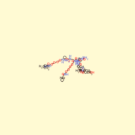 CC(C)[C@H](NC(=O)[C@@H](CCCCNC(=O)COC1CCCCC/C(NCCOCCOCCOCCOCCC(=O)NCC[N+](C)(C)C)=C\1N)NC(=O)CCOCCOCCOCCOCCNC(=O)CC[C@@H]1[C@@H]2CCC#CCC[C@@H]21)C(=O)N[C@@H](CCCNC(N)=O)C(=O)Nc1ccc2c(c1)[C@@]1(C)CCC[C@](C)(C(=O)NC(=O)[C@@]3(C)CCC[C@]4(C)c5cc(O)ccc5CC[C@@H]34)[C@@H]1CC2